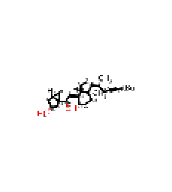 C[C@H](CC#CC(C)(C)C)[C@H]1CC[C@@H]2/C(=C/C(O)[C@@]34C[C@@H](O)C[C@@H]3C4)CCC[C@@]21C